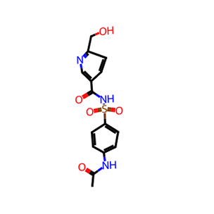 CC(=O)Nc1ccc(S(=O)(=O)NC(=O)c2ccc(CO)nc2)cc1